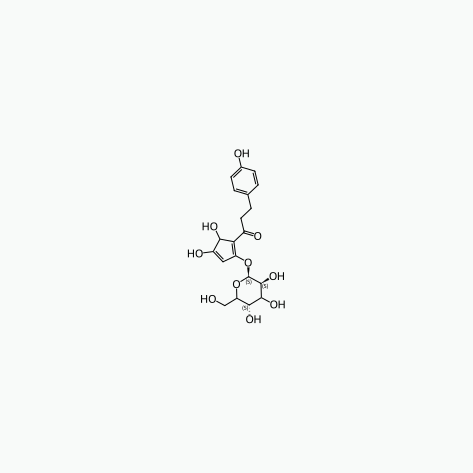 O=C(CCc1ccc(O)cc1)C1=C(O[C@@H]2OC(CO)[C@@H](O)C(O)[C@@H]2O)C=C(O)C1O